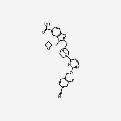 N#Cc1ccc(COc2nccc(C34CCC(CC3)C(Cc3nc5ccc(C(=O)O)cc5n3C[C@@H]3CCO3)C4)n2)c(F)c1